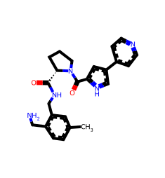 Cc1ccc(CN)c(CNC(=O)[C@@H]2CCCN2C(=O)c2cc(-c3ccncc3)c[nH]2)c1